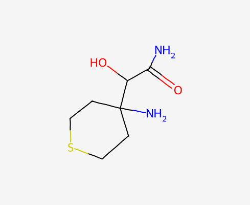 NC(=O)C(O)C1(N)CCSCC1